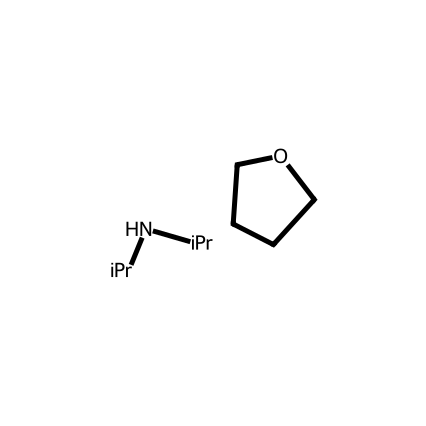 C1CCOC1.CC(C)NC(C)C